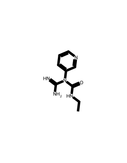 CCNC(=O)N(C(=N)N)c1cccnc1